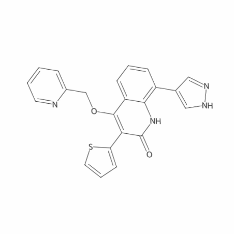 O=c1[nH]c2c(-c3cn[nH]c3)cccc2c(OCc2ccccn2)c1-c1cccs1